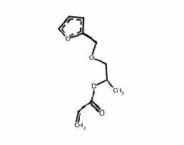 C=CC(=O)OC(C)COCc1ccco1